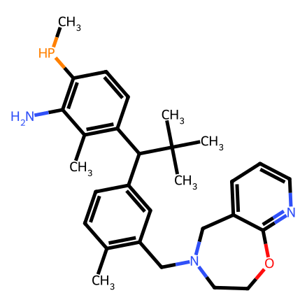 CPc1ccc(C(c2ccc(C)c(CN3CCOc4ncccc4C3)c2)C(C)(C)C)c(C)c1N